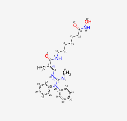 C=N/C(=N\C=C(/C)C(=O)NCCCCCCC(=O)NO)N(c1ccccc1)c1ccccc1